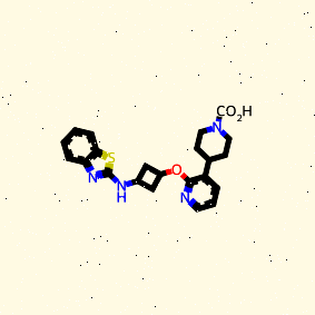 O=C(O)N1CCC(c2cccnc2OC2CC(Nc3nc4ccccc4s3)C2)CC1